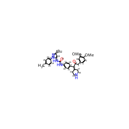 COc1ccc(CC(=O)C(c2ccc(NC(=O)Nc3cc(C(C)(C)C)nn3-c3ccc(C)cc3)cc2)C2CCNCC2)cc1OC